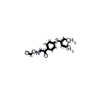 C/C=C\C(=C/C)Sc1ccc(C(=O)/C=N/OC=O)cc1